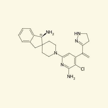 C=C(C1=NNCC1)c1cc(N2CCC3(CC2)Cc2ccccc2[C@H]3N)nc(N)c1Cl